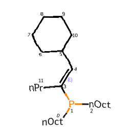 CCCCCCCCP(CCCCCCCC)/C(=C/C1CCCCC1)CCC